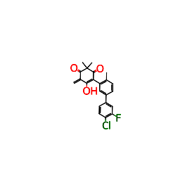 C=C1C(=O)C(C)(C)C(=O)C(c2cc(-c3ccc(Cl)c(F)c3)ccc2C)=C1O